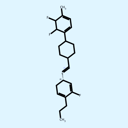 CCCC1=CC[C@H](/C=C/C2CCC(C3=CC=C(C)C(F)C3F)CC2)C=C1F